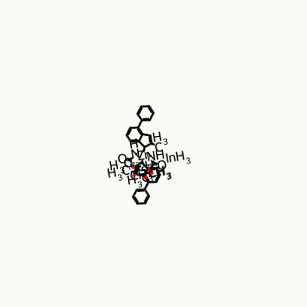 CC1=Cc2c(-c3ccccc3)cccc2[CH]1[Zr]([NH]C(=O)[Si](C)(C)C)([NH]C(=O)[Si](C)(C)C)[CH]1C(C)=Cc2c(-c3ccccc3)cccc21.[InH3]